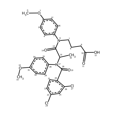 COc1ccc(N(CCCC(=O)O)C(=O)C(C)N(C(=O)c2ccc(Cl)cc2Cl)c2ccc(OC)cc2)cc1